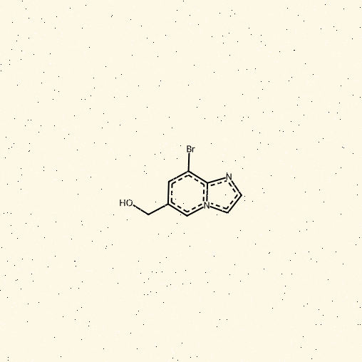 OCc1cc(Br)c2nccn2c1